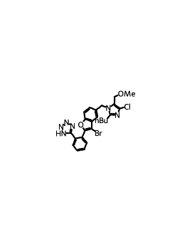 CCCCc1nc(Cl)c(COC)n1Cc1ccc2oc(-c3ccccc3-c3nnn[nH]3)c(Br)c2c1